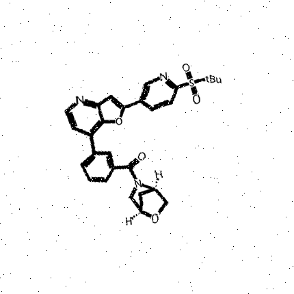 CC(C)(C)S(=O)(=O)c1ccc(-c2cc3nccc(-c4cccc(C(=O)N5C[C@H]6C[C@@H]5CO6)c4)c3o2)cn1